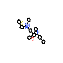 c1ccc(-c2ccc(-c3nc4ccccc4c4c(-c5ccc(-c6nc(-c7ccccc7)nc(-c7cccc8c7sc7ccccc78)n6)cc5)c5c(cc34)oc3ccccc35)cc2)cc1